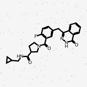 O=C(NCC1CC1)C1CCN(C(=O)c2cc(Cc3n[nH]c(=O)c4ccccc34)ccc2F)C1